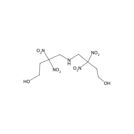 O=[N+]([O-])C(CCO)(CNCC(CCO)([N+](=O)[O-])[N+](=O)[O-])[N+](=O)[O-]